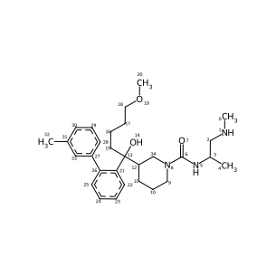 CNCC(C)NC(=O)N1CCCC(C(O)(CCCCOC)c2ccccc2-c2cccc(C)c2)C1